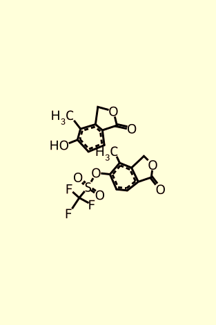 Cc1c(O)ccc2c1COC2=O.Cc1c(OS(=O)(=O)C(F)(F)F)ccc2c1COC2=O